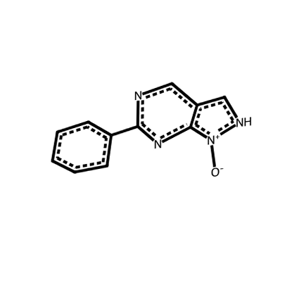 [O-][n+]1[nH]cc2cnc(-c3ccccc3)nc21